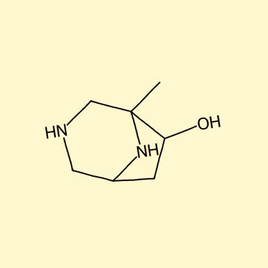 CC12CNCC(CC1O)N2